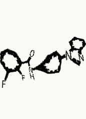 O=C(Nc1ccc(-n2cnc3ccccc32)cc1)c1cccc(F)c1F